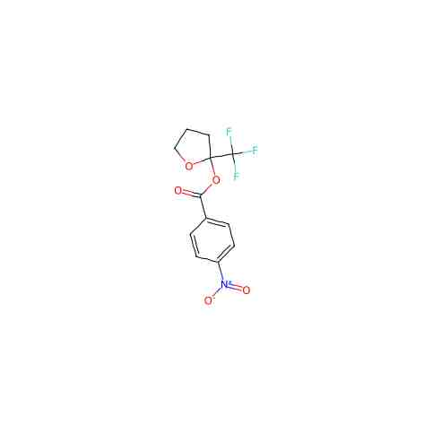 O=C(OC1(C(F)(F)F)CCCO1)c1ccc([N+](=O)[O-])cc1